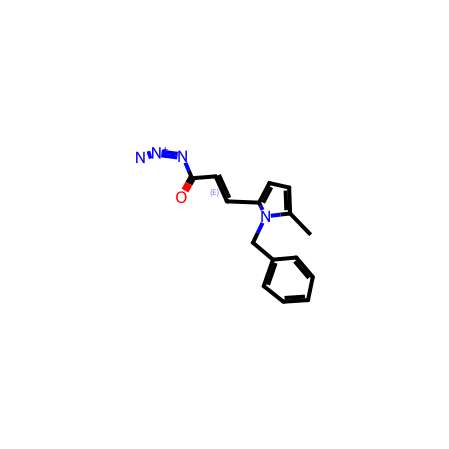 Cc1ccc(/C=C/C(=O)N=[N+]=[N-])n1Cc1ccccc1